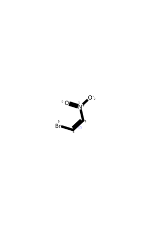 O=[N+]([O-])/C=C\Br